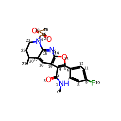 CNC(=O)c1c(-c2ccc(F)cc2)oc2nc3c(cc12)C(C)CCN3S(C)(=O)=O